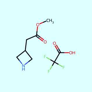 COC(=O)CC1CNC1.O=C(O)C(F)(F)F